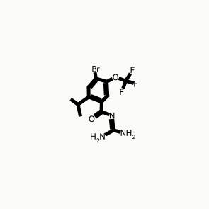 CC(C)c1cc(Br)c(OC(F)(F)F)cc1C(=O)N=C(N)N